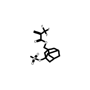 C=C(C(=O)OCC12CC3CC(C1)CC(OS(C)(=O)=O)(C3)C2)C(F)(F)F